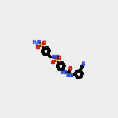 N#Cc1cccc(NC(=O)Nc2ccc(S(=O)(=O)NCc3ccc(S(N)(=O)=O)cc3)cc2)c1